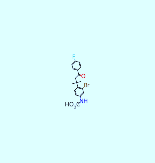 CC(C)(CC(=O)c1ccc(F)cc1)c1ccc(NC(=O)O)cc1Br